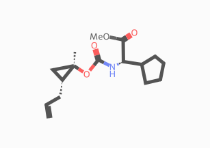 C=CC[C@@H]1C[C@@]1(C)OC(=O)N[C@H](C(=O)OC)C1CCCC1